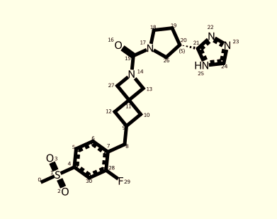 CS(=O)(=O)c1ccc(CC2CC3(C2)CN(C(=O)N2CC[C@H](c4nnc[nH]4)C2)C3)c(F)c1